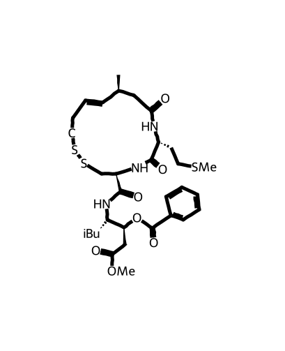 CC[C@@H](C)C(NC(=O)[C@H]1CSSCC/C=C/[C@@H](C)CC(=O)N[C@H](CCSC)C(=O)N1)[C@H](CC(=O)OC)OC(=O)c1ccccc1